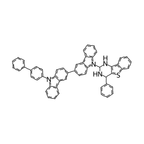 c1ccc(-c2ccc(-n3c4ccccc4c4cc(-c5ccc6c(c5)c5ccccc5n6C5Nc6c(sc7ccccc67)C(c6ccccc6)N5)ccc43)cc2)cc1